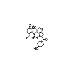 N#Cc1cnc2sc(C(=O)N3CCC(O)CC3)c3c2c1N(c1c(CI)ccc2c1OCO2)C(=O)N3